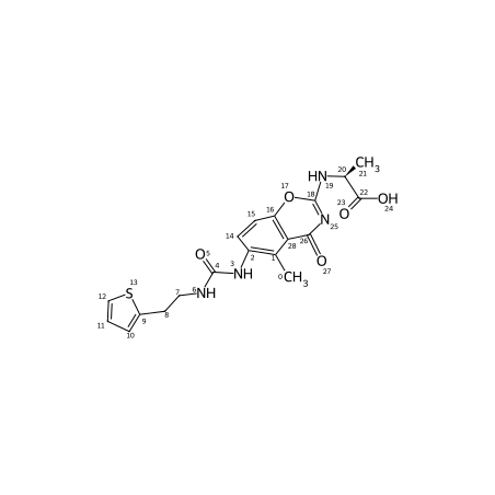 Cc1c(NC(=O)NCCc2cccs2)ccc2oc(N[C@@H](C)C(=O)O)nc(=O)c12